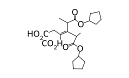 CC(C(=O)OC1CCCC1)C(=C(CC(=O)O)C(=O)O)C(C)C(=O)OC1CCCC1